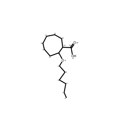 CCCCCCOC1CCCCCCC1C(=O)O